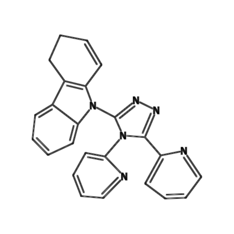 C1=Cc2c(c3ccccc3n2-c2nnc(-c3ccccn3)n2-c2ccccn2)CC1